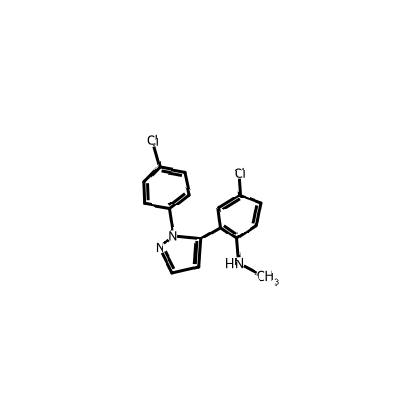 CNc1ccc(Cl)cc1-c1ccnn1-c1ccc(Cl)cc1